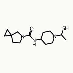 CC(S)N1CCC(NC(=O)N2CCC3(CC3)C2)CC1